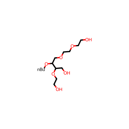 CCCCOC(COCCOCCO)C(CO)OCCO